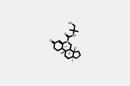 CC(C)(CO)NC(=O)N1C[C@H]2[C@@H]3CCC[C@@]3(C)CC[C@@H]2[C@@]2(C)CCC(=O)C=C12